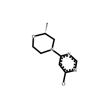 C[C@@H]1CN(c2cc(Cl)ncn2)CCO1